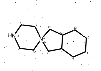 C1CCC2C[N+]3(CCNCC3)CC2C1